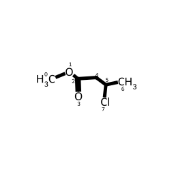 COC(=O)CC(C)Cl